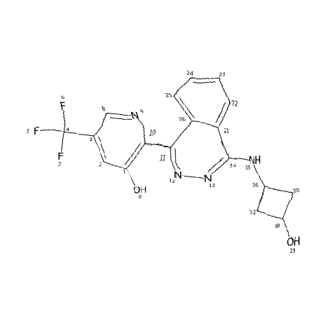 Oc1cc(C(F)(F)F)cnc1-c1nnc(NC2CC(O)C2)c2ccccc12